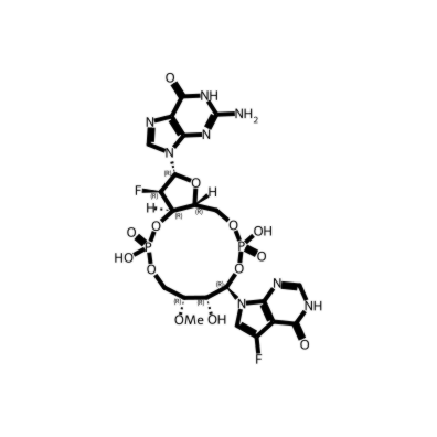 CO[C@@H]1COP(=O)(O)O[C@H]2[C@@H](F)[C@H](n3cnc4c(=O)[nH]c(N)nc43)O[C@@H]2COP(=O)(O)O[C@@H](n2cc(F)c3c(=O)[nH]cnc32)[C@@H]1O